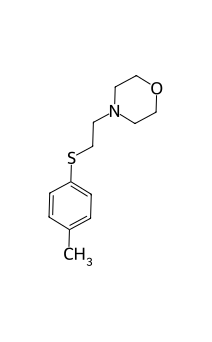 Cc1ccc(SCCN2CCOCC2)cc1